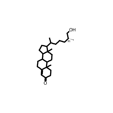 CC(CCC[C@@H](C)CO)C1CCC2C3CCC4=CC(=O)CCC4(C)C3CCC12C